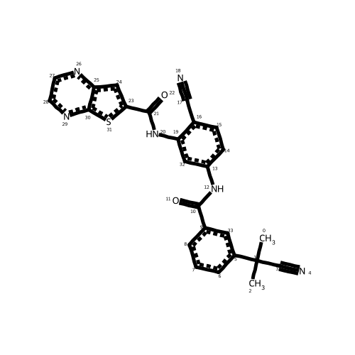 CC(C)(C#N)c1cccc(C(=O)Nc2ccc(C#N)c(NC(=O)c3cc4nccnc4s3)c2)c1